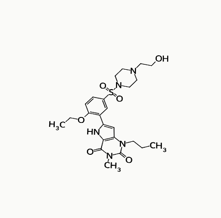 CCCn1c(=O)n(C)c(=O)c2[nH]c(-c3cc(S(=O)(=O)N4CCN(CCO)CC4)ccc3OCC)cc21